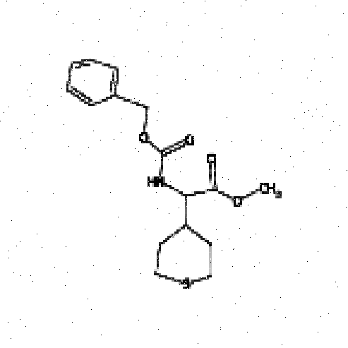 COC(=O)C(NC(=O)OCc1ccccc1)C1CCSCC1